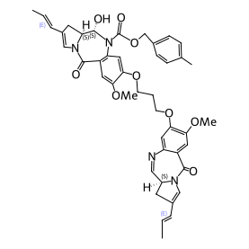 C/C=C/C1=CN2C(=O)c3cc(OC)c(OCCCOc4cc5c(cc4OC)C(=O)N4C=C(/C=C/C)C[C@H]4[C@H](O)N5C(=O)OCc4ccc(C)cc4)cc3N=C[C@@H]2C1